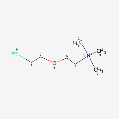 C[N+](C)(C)CCOCC[18F]